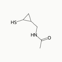 CC(=O)NCC1CC1S